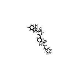 Cc1ccc2[nH]c(-c3cc(N4CCC[C@H](C(=O)NCCN5CCOCC5)C4)ccc3Cl)nc2c1